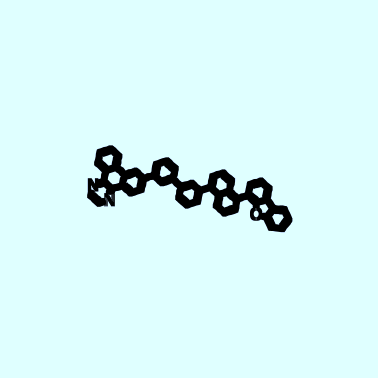 c1cc(-c2cccc(-c3cccc4c(-c5cccc6c5oc5ccccc56)cccc34)c2)cc(-c2ccc3c(c2)c2ccccc2c2nccnc32)c1